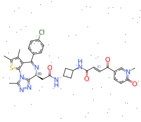 Cc1sc2c(c1C)C(c1ccc(Cl)cc1)=N[C@@H](CC(=O)N[C@H]1C[C@H](NC(=O)/C=C/C(=O)c3ccc(=O)n(C)c3)C1)c1nnc(C)n1-2